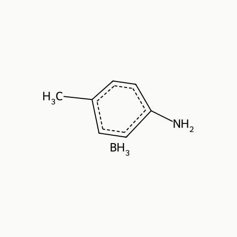 B.Cc1ccc(N)cc1